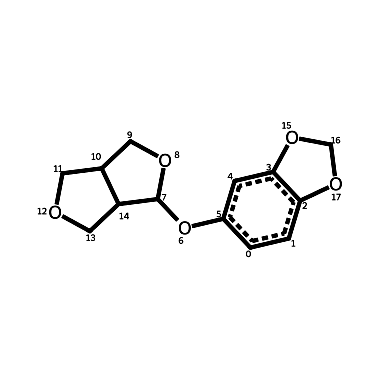 c1cc2c(cc1OC1OCC3COCC31)OCO2